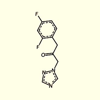 O=C(Cc1ccc(F)cc1F)Cn1cncn1